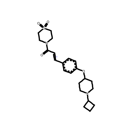 O=C(/C=C/c1ccc(OC2CCN(C3CCC3)CC2)cc1)N1CCS(=O)(=O)CC1